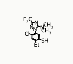 CCc1cc(Cl)c(-n2nc(C(F)(F)F)nc2N(C)C)cc1S